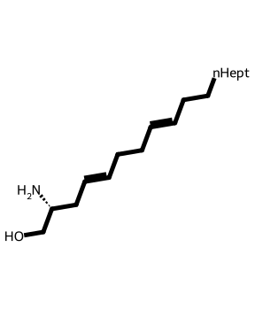 CCCCCCCCC/C=C/CC/C=C/C[C@@H](N)CO